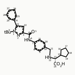 CC(C)(C)n1nc(C(=O)Nc2ccc(CN[C@@H](C(=O)O)C3CCCC3)cc2)cc1-c1ccccc1